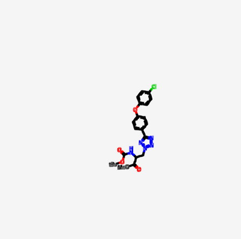 COC(=O)C(Cn1nnc(-c2ccc(Oc3ccc(Cl)cc3)cc2)n1)NC(=O)OC(C)(C)C